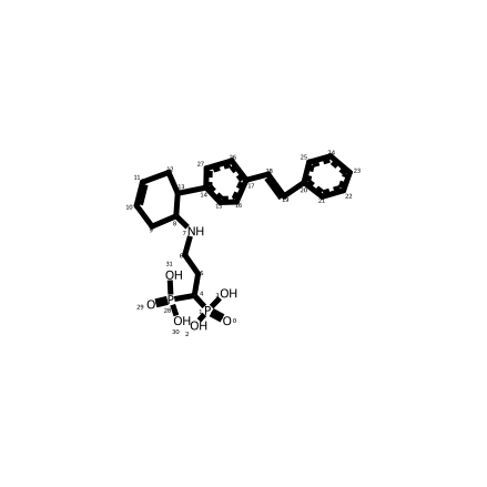 O=P(O)(O)C(CCNC1CC=CCC1c1ccc(C=Cc2ccccc2)cc1)P(=O)(O)O